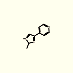 CC1N=C(c2ccncc2)C=[SH]1